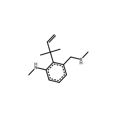 C=CC(C)(C)c1c(CBC)cccc1NC